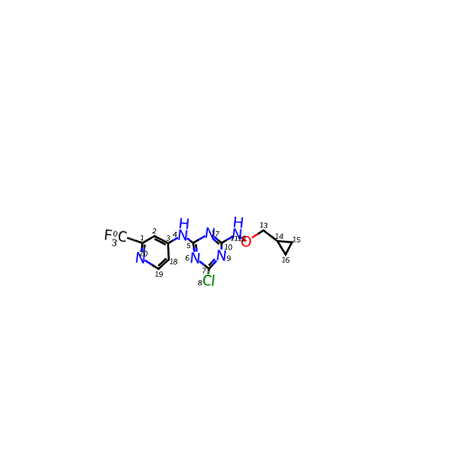 FC(F)(F)c1cc(Nc2nc(Cl)nc(NOCC3CC3)n2)ccn1